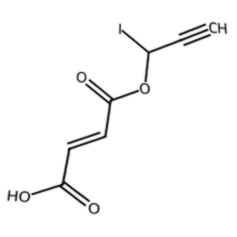 C#CC(I)OC(=O)C=CC(=O)O